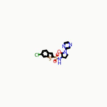 O=C1C(NS(=O)(=O)c2cc3ccc(Cl)cc3s2)CCN1c1cnccn1